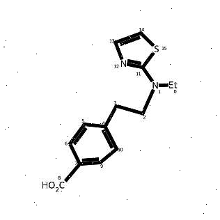 CCN(CCc1ccc(C(=O)O)cc1)c1nccs1